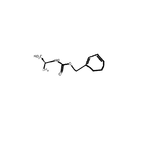 C[C@H](NC(=O)OCC1=CC=CCC1)C(=O)O